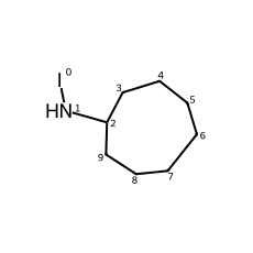 INC1CCCCCCC1